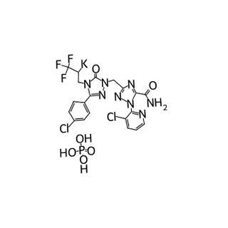 NC(=O)c1nc(Cn2nc(-c3ccc(Cl)cc3)n(C[CH]([K])C(F)(F)F)c2=O)nn1-c1ncccc1Cl.O=P(O)(O)O